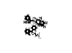 Cc1ccccc1C(OCCN(C)C)c1ccccc1.O=C(O[C@@H]1C[C@@H]2C[C@@H]3C[C@H](C1)N2CC3=O)c1c[nH]c2ccccc12